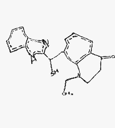 C=C1CCN(CC)c2c1cccc2C(S)c1nc2ccccc2[nH]1